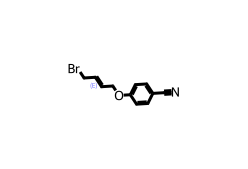 N#Cc1ccc(OC/C=C/CBr)cc1